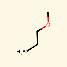 COC[CH2][AlH2]